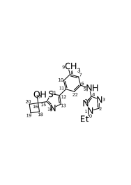 CCn1cnc(Nc2cc(C)cc(-c3cnc(C4(O)CCC4)s3)c2)n1